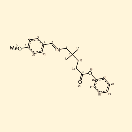 COc1ccc(C=NCC(C)(C)CCC(=O)Oc2ccccc2)cc1